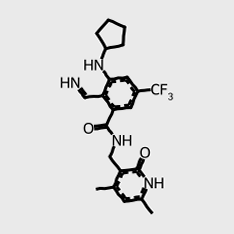 Cc1cc(C)c(CNC(=O)c2cc(C(F)(F)F)cc(NC3CCCC3)c2C=N)c(=O)[nH]1